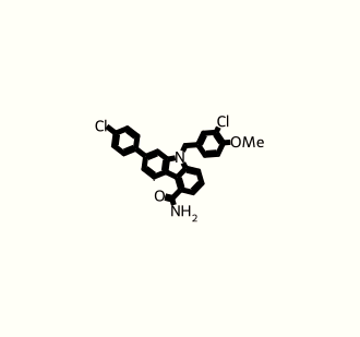 COc1ccc(Cn2c3cc(-c4ccc(Cl)cc4)c[c]c3c3c(C(N)=O)cccc32)cc1Cl